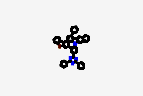 c1ccc(-c2nc(-c3ccccc3)nc(-c3ccc(-n4c5cc6ccccc6cc5c5c(-c6ccccc6)cccc54)c(-c4ccc5c(c4)sc4ccccc45)c3)n2)cc1